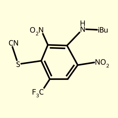 CCC(C)Nc1c([N+](=O)[O-])cc(C(F)(F)F)c(SC#N)c1[N+](=O)[O-]